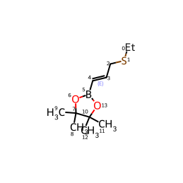 CCSC/C=C/B1OC(C)(C)C(C)(C)O1